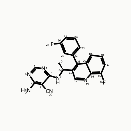 C[C@H](Nc1ncnc(N)c1C#N)c1cnc2c(F)cccc2c1-c1cccc(F)c1